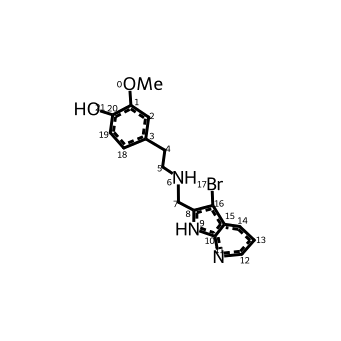 COc1cc(CCNCc2[nH]c3ncccc3c2Br)ccc1O